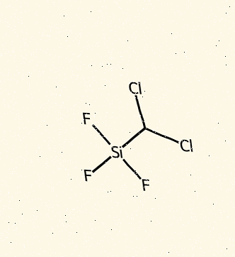 F[Si](F)(F)C(Cl)Cl